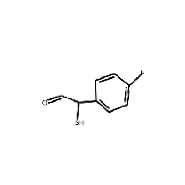 O=CC(S)c1ccc(F)cc1